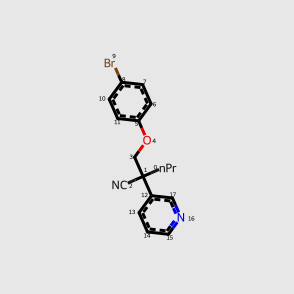 CCCC(C#N)(COc1ccc(Br)cc1)c1cccnc1